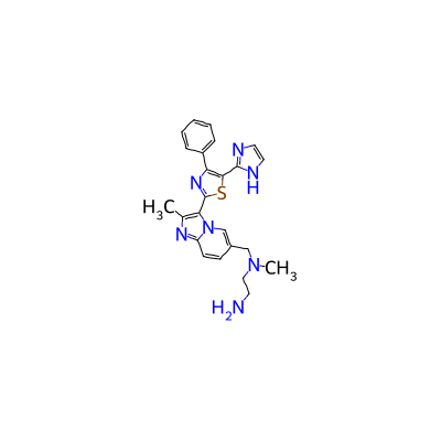 Cc1nc2ccc(CN(C)CCN)cn2c1-c1nc(-c2ccccc2)c(-c2ncc[nH]2)s1